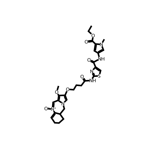 CCOC(=O)c1cc(NC(=O)c2csc(NC(=O)CCCOc3cn4c(c3OC)C=[N+]([O-])C3=CCCCC3C4)n2)cn1C